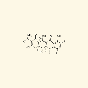 C[C@H]1c2c(I)cc(I)c(O)c2C(=O)C2=C(O)[C@]3(O)C(=O)C(C(N)=O)=C(O)C[C@@H]3[C@@H](O)[C@@H]21